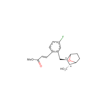 COC(=O)C=Cc1ccc(F)cc1C[C@H]1C2CCC(O2)[C@@H]1C(=O)O